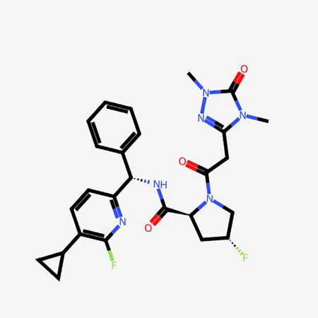 Cn1nc(CC(=O)N2C[C@H](F)C[C@H]2C(=O)N[C@@H](c2ccccc2)c2ccc(C3CC3)c(F)n2)n(C)c1=O